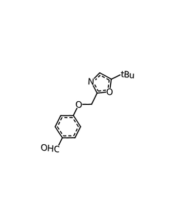 CC(C)(C)c1cnc(COc2ccc(C=O)cc2)o1